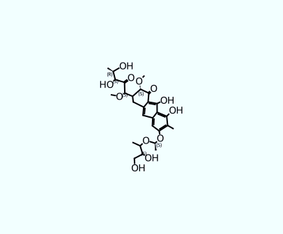 CO[C@@H]1C(=O)c2c(cc3cc(O[C@@H](C)OC(C)[C@@H](O)CO)c(C)c(O)c3c2O)CC1[C@H](OC)C(=O)[C@@H](O)[C@@H](C)O